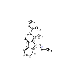 C=CC(=C)c1ccc2c3ccccc3n(/C=C/C)c2c1C